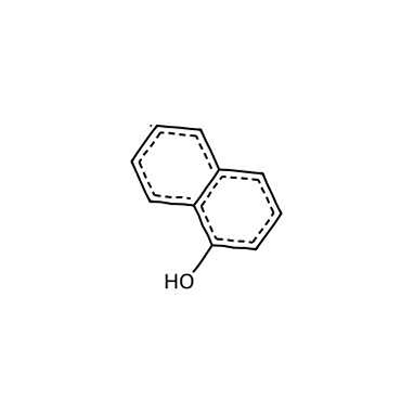 Oc1cccc2c[c]ccc12